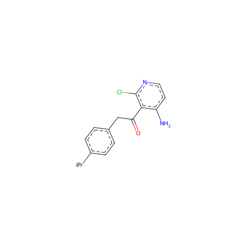 CC(C)c1ccc(CC(=O)c2c(N)ccnc2Cl)cc1